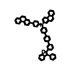 c1ccc(-c2c(-c3cccc(-c4ccc(-c5ccc(N(c6ccc(-c7ccc8c(ccc9ccccc98)c7)cc6)c6ccc7c(ccc8ccccc87)c6)cc5)cc4)c3)oc3ccccc23)cc1